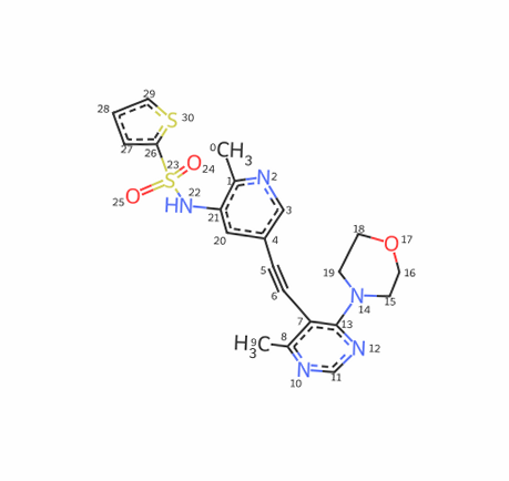 Cc1ncc(C#Cc2c(C)ncnc2N2CCOCC2)cc1NS(=O)(=O)c1cccs1